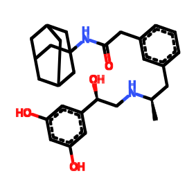 C[C@H](Cc1cccc(CC(=O)NC23CC4CC(CC(C4)C2)C3)c1)NC[C@H](O)c1cc(O)cc(O)c1